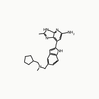 Cc1nc2c(-c3cc4cc(CN(C)CC5CCCC5)ccc4[nH]3)cc(N)nc2[nH]1